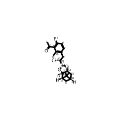 CC(=O)c1c(F)ccc(C[C@@H](Cl)B2OC3C[C@@H]4C[C@@H](C4(C)C)[C@]3(C)O2)c1C